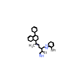 CCCC1=C(NCC(C/C=C(\C)C2CCC(C3CC=CCC3)=C3C=CCCC32)C(C=N)CC)CCC=C1